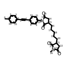 Cc1ccc(C#Cc2ccc(N3C(=O)CC(CCCCCC4CC(=O)N(C)C4=O)C3=O)cc2)cc1